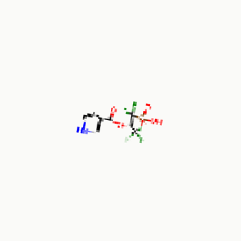 O=C(OC(C(F)(F)F)C(F)(F)S(=O)(=O)O)c1cc[nH]c1